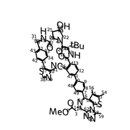 COC(=O)C[C@@H]1N=C(c2ccc(-c3ccc(C(=O)N[C@H](C(=O)N4C[C@H](O)C[C@H]4C(=O)N[C@@H](C)c4ccc(-c5scnc5C)cc4)C(C)(C)C)c(C#N)c3)cc2)c2c(sc(C)c2C)-n2c(C)nnc21